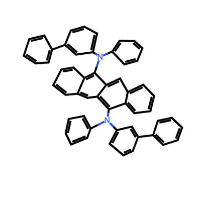 c1ccc(-c2cccc(N(c3ccccc3)c3c4ccccc4cc4c(N(c5ccccc5)c5cccc(-c6ccccc6)c5)c5ccccc5cc34)c2)cc1